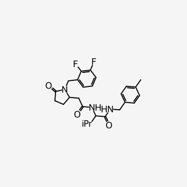 Cc1ccc(CNC(=O)C(NC(=O)CC2CCC(=O)N2Cc2cccc(F)c2F)C(C)C)cc1